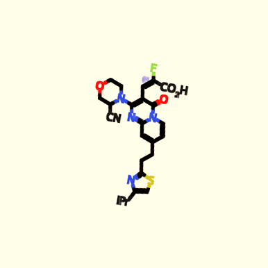 CC(C)c1csc(CCc2ccn3c(=O)c(/C=C(/F)C(=O)O)c(N4CCOCC4C#N)nc3c2)n1